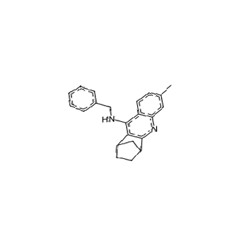 Cc1ccc2c(NCc3ccccc3)c3c(nc2c1)C1CCC3C1